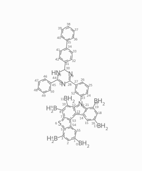 Bc1cc(B)c2sc3c(B)c(B)c4c(c5cc(B)cc(B)c5n4-c4cccc(C5=NC(c6ccc(-c7ccccc7)cc6)NC(c6ccccc6)=N5)c4)c3c2c1